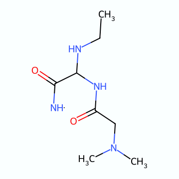 CCNC(NC(=O)CN(C)C)C([NH])=O